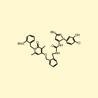 CSc1ccccc1Cn1c(C)cc(OCc2ccccc2CNC(=O)Nc2cc(C(C)(C)C)nn2-c2ccc(Cl)c(O)c2)c(C)c1=O